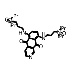 CC(C)[N+]([O-])(CCCNc1ccc(NCCC[N+]([O-])(C(C)C)C(C)C)c2c1C(=O)c1ccncc1C2=O)C(C)C